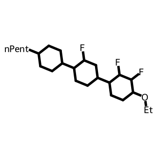 CCCCCC1CCC(C2CCC(C3CCC(OCC)C(F)C3F)CC2F)CC1